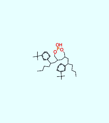 CCCCC(CC1COP(O)OCC(CC(CCCC)c2cccc(C(C)(C)C)c2)C1)c1cccc(C(C)(C)C)c1